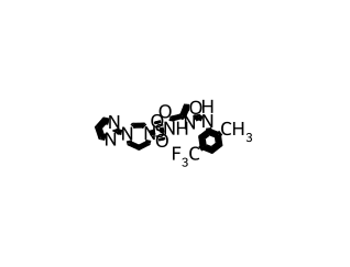 Cc1ccc(C(F)(F)F)cc1Nc1nc(C(=O)NS(=O)(=O)N2CCCN(c3ncccn3)CC2)co1